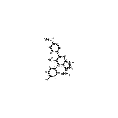 COc1ccc(-c2nc3[nH]nc(N)c3c(-c3ccc(C)cc3)c2C#N)cc1